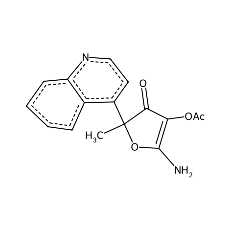 CC(=O)OC1=C(N)OC(C)(c2ccnc3ccccc23)C1=O